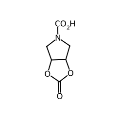 O=C1OC2CN(C(=O)O)CC2O1